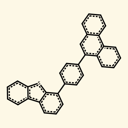 c1ccc2c(c1)cc(-c1ccc(-c3cccc4c3sc3ccccc34)cc1)c1ccccc12